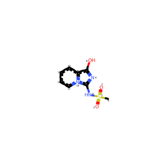 CS(=O)(=O)Nc1nc(O)c2ccccn12